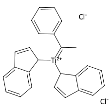 C[C](c1ccccc1)=[Ti+2]([CH]1C=Cc2ccccc21)[CH]1C=Cc2ccccc21.[Cl-].[Cl-]